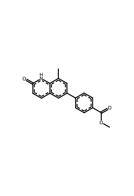 COC(=O)c1ccc(-c2cc(C)c3[nH]c(=O)ccc3c2)cc1